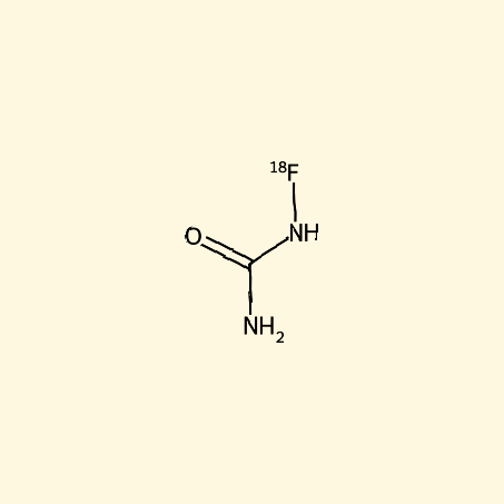 NC(=O)N[18F]